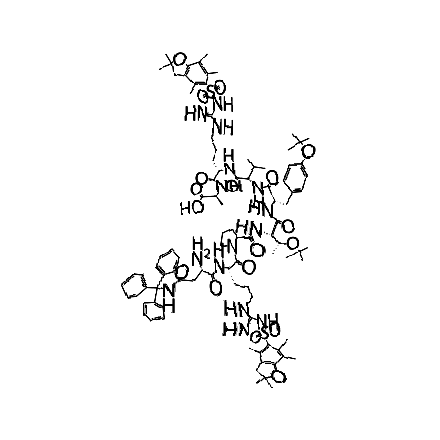 Cc1c(C)c(S(=O)(=O)NC(=N)NCCC[C@H](NC(=O)[C@@H](NC(=O)[C@H](Cc2ccc(OC(C)(C)C)cc2)NC(=O)[C@@H](NC(=O)[C@@H]2CCCN2C(=O)[C@H](CCCNC(=N)NS(=O)(=O)c2c(C)c(C)c3c(c2C)CC(C)(C)O3)NC(=O)[C@@H](N)CC(=O)NC(c2ccccc2)(c2ccccc2)c2ccccc2)[C@@H](C)OC(C)(C)C)C(C)C)C(=O)N[C@@H](C)C(=O)O)c(C)c2c1OC(C)(C)C2